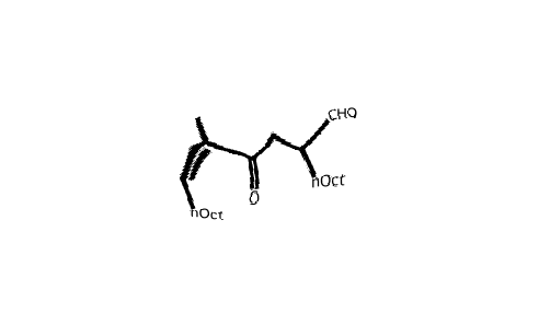 CCCCCCCCC=C(C)C(=O)CC(C=O)CCCCCCCC